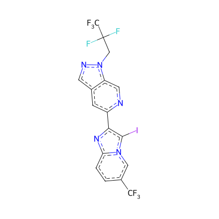 FC(F)(F)c1ccc2nc(-c3cc4cnn(CC(F)(F)C(F)(F)F)c4cn3)c(I)n2c1